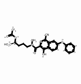 N#Cc1nc(C(=O)N(N)CCC[C@H](OC(=O)C(F)(F)F)C(=O)O)c(O)c2ccc(Oc3ccccc3)cc12